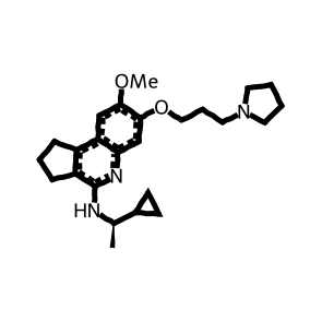 COc1cc2c3c(c(N[C@H](C)C4CC4)nc2cc1OCCCN1CCCC1)CCC3